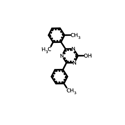 Cc1cccc(-c2nc(O)nc(-c3c(C)cccc3C)n2)c1